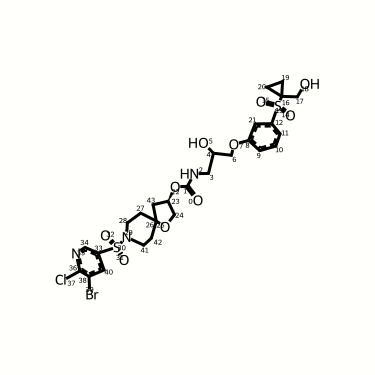 O=C(NCC(O)COc1cccc(S(=O)(=O)C2(CO)CC2)c1)O[C@H]1COC2(CCN(S(=O)(=O)c3cnc(Cl)c(Br)c3)CC2)C1